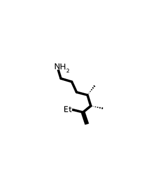 C=C(CC)[C@@H](C)[C@@H](C)CCCN